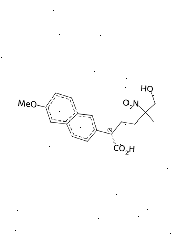 COc1ccc2cc([C@H](CCC(C)(CO)[N+](=O)[O-])C(=O)O)ccc2c1